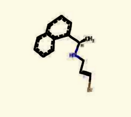 C[C@@H](NC/C=C/Br)c1cccc2ccccc12